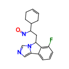 O=NC(CC1c2c(F)cccc2-c2cncn21)C1CC=CCC1